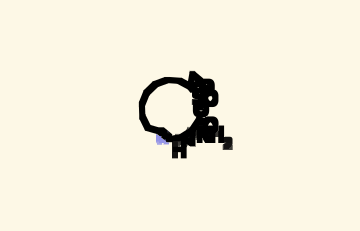 N[C@]12C[C@H]1/C=C/CCCCCCCC1(CC1)S(=O)(=O)OC2=O